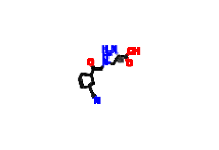 N#Cc1cccc(C(=O)CNC[C@H](N)C(=O)O)c1